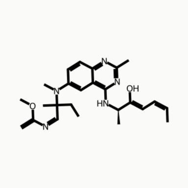 C=C(/N=C\C(C)(CC)N(C)c1ccc2nc(C)nc(N[C@H](C)/C(O)=C/C=C\C)c2c1)OC